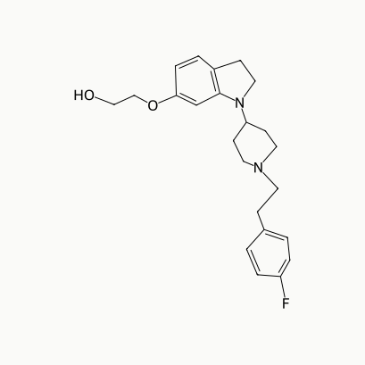 OCCOc1ccc2c(c1)N(C1CCN(CCc3ccc(F)cc3)CC1)CC2